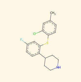 Cc1ccc(Sc2cc(F)ccc2C2CCNCC2)c(Cl)c1